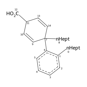 CCCCCCCc1ccccc1C1(CCCCCCC)C=CC(C(=O)O)C=C1